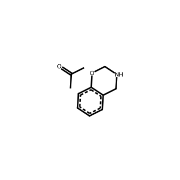 CC(C)=O.c1ccc2c(c1)CNCO2